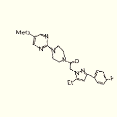 CCc1cc(-c2ccc(F)cc2)nn1CC(=O)N1CCN(c2ncc(OC)cn2)CC1